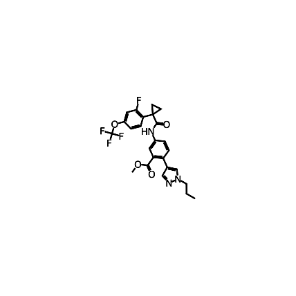 CCCn1cc(-c2ccc(NC(=O)C3(c4ccc(OC(F)(F)F)cc4F)CC3)cc2C(=O)OC)cn1